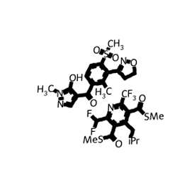 CSC(=O)c1c(C(F)F)nc(C(F)(F)F)c(C(=O)SC)c1CC(C)C.Cc1c(C(=O)c2cnn(C)c2O)ccc(S(C)(=O)=O)c1C1=NOCC1